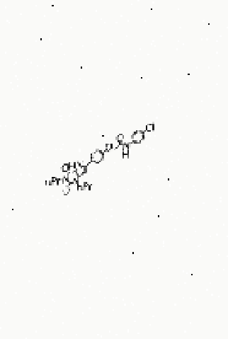 CCCn1c(=O)c2[nH]c(-c3ccc(OCC(=O)Nc4ccc(Cl)cc4)cc3)cc2n(CCC)c1=O